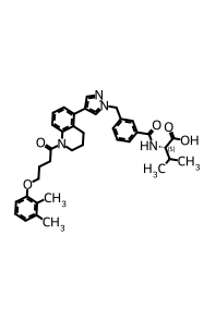 Cc1cccc(OCCCC(=O)N2CCCc3c(-c4cnn(Cc5cccc(C(=O)N[C@H](C(=O)O)C(C)C)c5)c4)cccc32)c1C